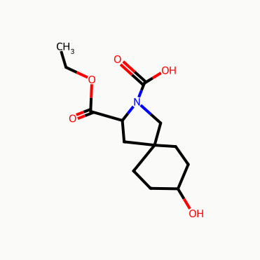 CCOC(=O)C1CC2(CCC(O)CC2)CN1C(=O)O